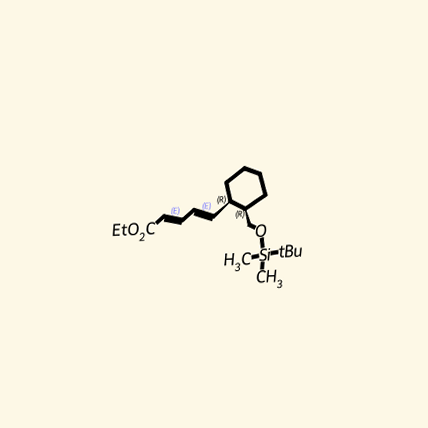 CCOC(=O)/C=C/C=C/[C@H]1CCCC[C@H]1CO[Si](C)(C)C(C)(C)C